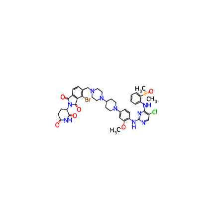 COc1cc(N2CCC(N3CCN(Cc4ccc5c(c4Br)C(=O)N(C4CCC(=O)NC4=O)C5=O)CC3)CC2)ccc1Nc1ncc(Cl)c(Nc2ccccc2P(C)(C)=O)n1